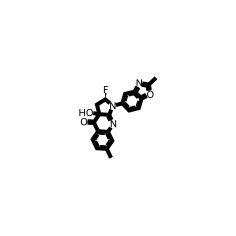 Cc1ccc2c(c1)N=C1N(c3ccc4oc(C)nc4c3)[C@@H](F)CC1(O)C2=O